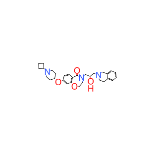 O=C1c2ccc(OC3CCN(C4CCC4)CC3)cc2OCCN1CC(O)CN1CCc2ccccc2C1